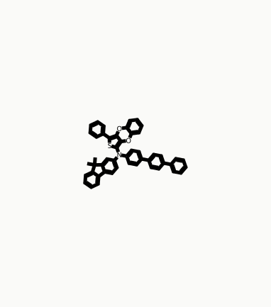 CC1(C)c2ccccc2-c2ccc(N(c3ccc(-c4ccc(-c5ccccc5)cc4)cc3)c3sc(-c4ccccc4)c4c3Oc3ccccc3O4)cc21